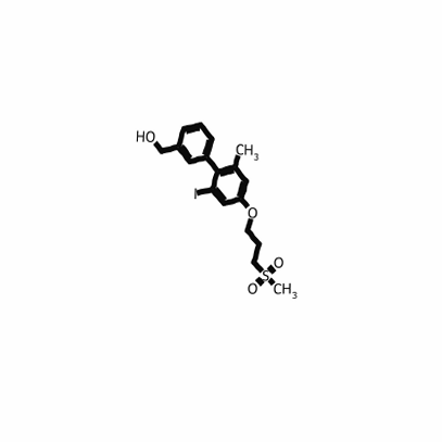 Cc1cc(OCCCS(C)(=O)=O)cc(I)c1-c1cccc(CO)c1